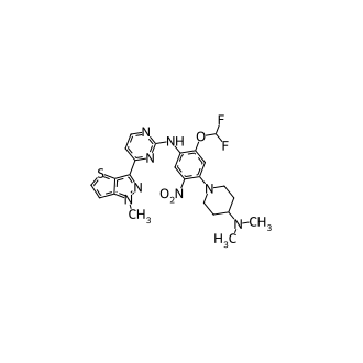 CN(C)C1CCN(c2cc(OC(F)F)c(Nc3nccc(-c4nn(C)c5ccsc45)n3)cc2[N+](=O)[O-])CC1